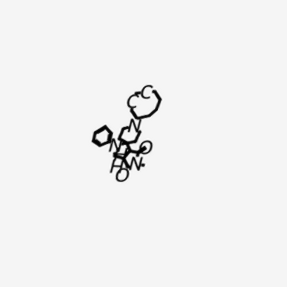 CN1C(=O)[C@H]2CN(c3ccccc3)C3(CCN(C4CCCCCCCC4)CC3)[C@H]2C1=O